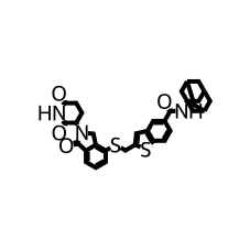 O=C1CCC(N2Cc3c(SCc4cc5cc(C(=O)NC67CC8CC(CC(C8)C6)C7)ccc5s4)cccc3C2=O)C(=O)N1